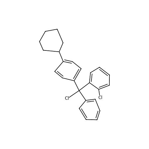 Clc1ccccc1C(Cl)(c1ccccc1)c1ccc(C2CCCCC2)cc1